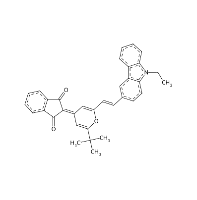 CCn1c2ccccc2c2cc(C=CC3=CC(=C4C(=O)c5ccccc5C4=O)C=C(C(C)(C)C)O3)ccc21